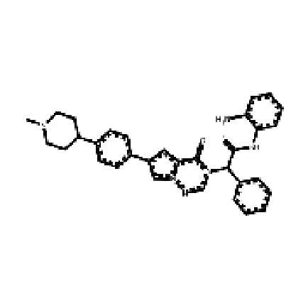 CN1CCC(c2ccc(-c3cc4c(=O)n(C(C(=O)Nc5ccccc5N)c5ccccc5)cnn4c3)cc2)CC1